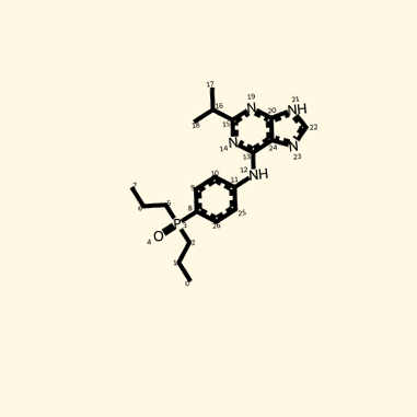 CCCP(=O)(CCC)c1ccc(Nc2nc(C(C)C)nc3[nH]cnc23)cc1